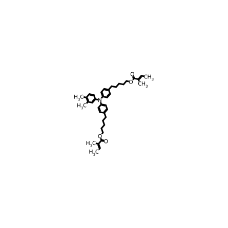 C/C=C(\C)C(=O)OCCCCCc1ccc(N(c2ccc(CCCCCOC(=O)/C(C)=C/C)cc2)c2ccc(C)c(C)c2)cc1